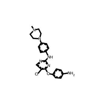 CN1CCN(c2ccc(Nc3ncc(Cl)c(Oc4ccc(N)cc4)n3)cc2)CC1